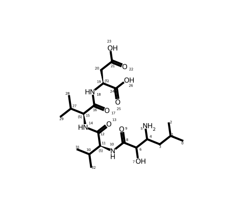 CC(C)CC(N)C(O)C(=O)N[C@H](C(=O)N[C@H](C(=O)N[C@@H](CC(=O)O)C(=O)O)C(C)C)C(C)C